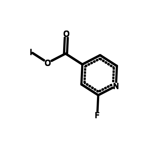 O=C(OI)c1ccnc(F)c1